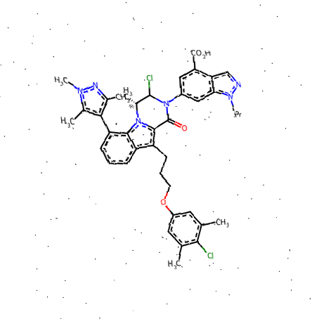 Cc1cc(OCCCc2c3n(c4c(-c5c(C)nn(C)c5C)cccc24)[C@H](C)C(Cl)N(c2cc(C(=O)O)c4cnn(C(C)C)c4c2)C3=O)cc(C)c1Cl